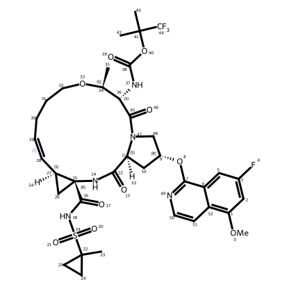 COc1cc(F)cc2c(O[C@@H]3C[C@H]4C(=O)N[C@]5(C(=O)NS(=O)(=O)C6(C)CC6)C[C@H]5/C=C\CCCO[C@@H](C)[C@H](NC(=O)OC(C)(C)C(F)(F)F)C(=O)N4C3)nccc12